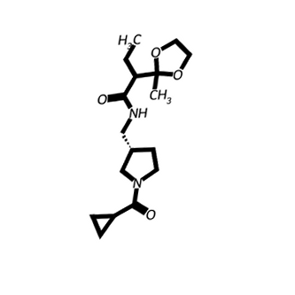 CCC(C(=O)NC[C@@H]1CCN(C(=O)C2CC2)C1)C1(C)OCCO1